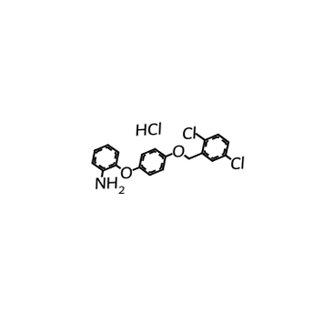 Cl.Nc1ccccc1Oc1ccc(OCc2cc(Cl)ccc2Cl)cc1